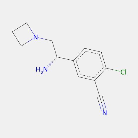 N#Cc1cc([C@H](N)CN2CCC2)ccc1Cl